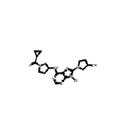 CCn1c(N2CCC(O)C2)nc2c(NC3CCN(C(=O)C4CC4)C3)ncnc21